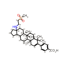 CC1(C)C(c2ccc(C(=O)O)cc2)=CCC2(C)C1CCC1(C)C2CCC2C3CCCC3(NCCS(C)(=O)=O)CC[C@]21C